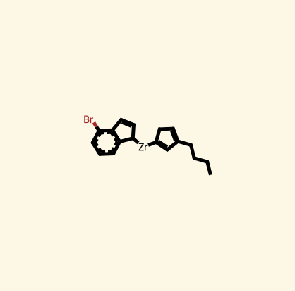 CCCCC1=CC[C]([Zr][CH]2C=Cc3c(Br)cccc32)=C1